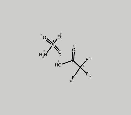 CCS(N)(=O)=O.O=C(O)C(F)(F)F